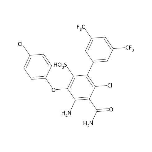 NC(=O)c1c(N)c(Oc2ccc(Cl)cc2)c(S(=O)(=O)O)c(-c2cc(C(F)(F)F)cc(C(F)(F)F)c2)c1Cl